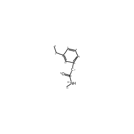 CCc1cccc(CC(=O)NC)c1